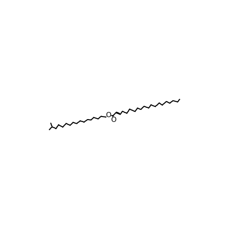 CCCCCCCCCCCCCCCCCC=CC(=O)OCCCCCCCCCCCCCCCC(C)C